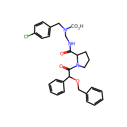 O=C(NCN(Cc1ccc(Cl)cc1)C(=O)O)C1CCCN1C(=O)C(OCc1ccccc1)c1ccccc1